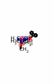 C=CCOC(=O)CC(C(=O)N(C)C)N(C)C(=O)C(C)(C)CNC(=O)OCC1c2ccccc2-c2ccccc21